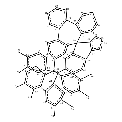 Cc1ccc(N(c2ccc(C)c(C)c2)c2ccc3c(c2)C2(c4ccccc4-c4ccccc4-3)c3ccccc3-c3ccc(N(c4ccc(C)c(C)c4)c4ccc(C)c(C)c4)cc32)cc1C